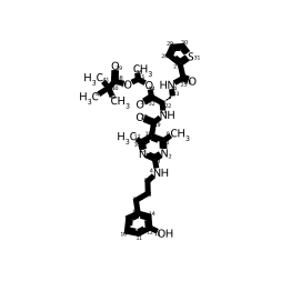 Cc1nc(NCCCc2cccc(O)c2)nc(C)c1C(=O)N[C@@H](CNC(=O)c1cccs1)C(=O)OC(C)OC(=O)C(C)(C)C